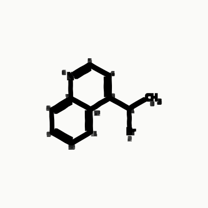 CC(Br)c1ccnc2ccccc12